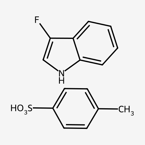 Cc1ccc(S(=O)(=O)O)cc1.Fc1c[nH]c2ccccc12